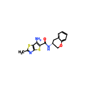 Cc1nc2sc(C(=O)N[C@H]3COc4ccccc4C3)c(N)c2s1